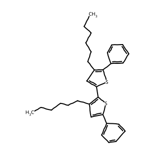 CCCCCCc1cc(-c2sc(-c3ccccc3)cc2CCCCCC)sc1-c1ccccc1